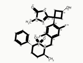 C[C@H]1CC[C@H](c2ccccc2)S(=O)(=O)N1Cc1cc(F)c([C@]2(c3nn(C)c(=O)o3)C[C@@H](O)C2)cc1F